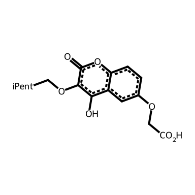 CCCC(C)COc1c(O)c2cc(OCC(=O)O)ccc2oc1=O